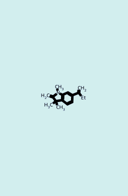 C=C(CC)c1ccc2c(c1)N(C)C(=C)C2(C)C